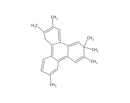 CC1=Cc2c(c3c(c4ccc(C)cc24)CC(C)=C(C)C=3)=CC1(C)C